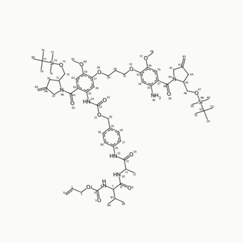 C=CCOC(=O)NC(C(=O)NC(C)C(=O)Nc1ccc(COC(=O)Nc2cc(OCCCOc3cc(N)c(C(=O)N4CC(=C)CC4CO[Si](C)(C)C(C)(C)C)cc3OC)c(OC)cc2C(=O)N2CC(=C)CC2CO[Si](C)(C)C(C)(C)C)cc1)C(C)C